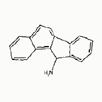 NC1c2ccccc2-c2ccc3ccccc3c21